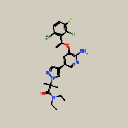 CCN(CC)C(=O)C(C)(C)n1cc(-c2cnc(N)c(OC(C)c3c(Cl)ccc(F)c3Cl)c2)cn1